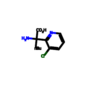 CCCCC(N)(C(=O)O)c1ncccc1Cl